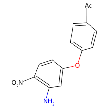 CC(=O)c1ccc(Oc2ccc([N+](=O)[O-])c(N)c2)cc1